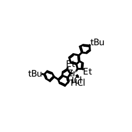 Cl.Cl.[CH2]=[Zr]([CH]1C(CC)=Cc2c(-c3ccc(C(C)(C)C)cc3)cccc21)[CH]1C(CC)=Cc2c(-c3ccc(C(C)(C)C)cc3)cccc21